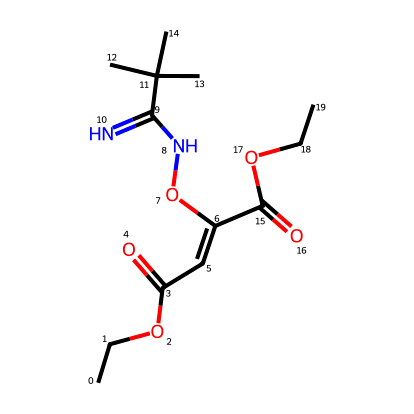 CCOC(=O)C=C(ONC(=N)C(C)(C)C)C(=O)OCC